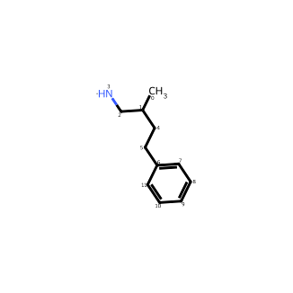 CC(C[NH])CCc1ccccc1